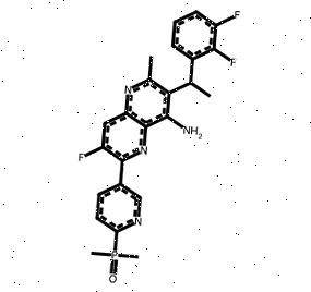 Cc1nc2cc(F)c(-c3ccc(P(C)(C)=O)nc3)nc2c(N)c1C(C)c1cccc(F)c1F